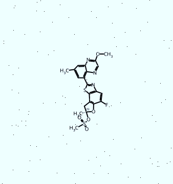 COc1cnc2c(-c3nc4cc(F)c5c(c4s3)C[C@](C)(OS(C)(=O)=O)O5)cc(C)cc2n1